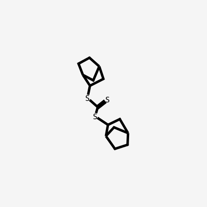 S=C(SC1CC2CCC1C2)SC1CC2CCC1C2